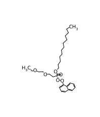 CCCCCCCCCCCCCOP(=O)(CCOCCOCC)OOc1cccc2ccccc12